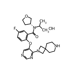 CC(C)N(C(=O)c1cc(F)ccc1Oc1cncnc1N1CC2(CCNCC2)C1)[C@@H]1CCOC1.Cl